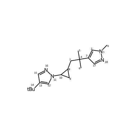 Cn1cc(C(C)(C)CC2CC2n2cc(C(C)(C)C)cn2)cn1